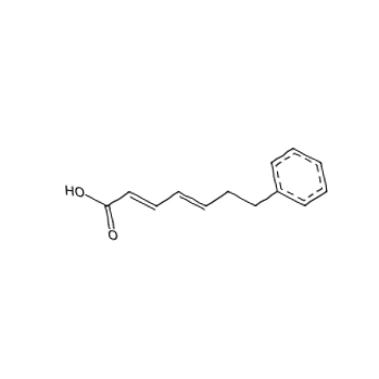 O=C(O)C=CC=CCCc1ccccc1